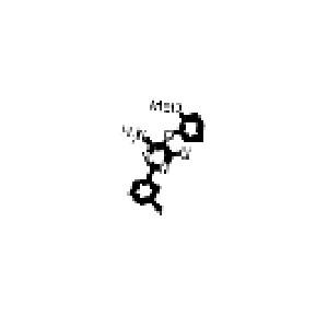 COc1ccccc1Oc1c(N)nc(-c2cccc(I)c2)nc1Cl